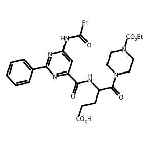 CCOC(=O)N1CCN(C(=O)C(CCC(=O)O)NC(=O)c2cc(NC(=O)CC)nc(-c3ccccc3)n2)CC1